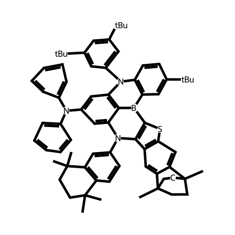 CC(C)(C)c1cc(N2c3ccc(C(C)(C)C)cc3B3c4sc5cc6c(cc5c4N(c4ccc5c(c4)C(C)(C)CCC5(C)C)c4cc(N(c5ccccc5)c5ccccc5)cc2c43)C2(C)CCC6(C)CC2)cc(C(C)(C)C)c1